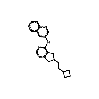 c1ccc2ncc(Nc3ncnc4c3CN(CCC3CCC3)C4)cc2c1